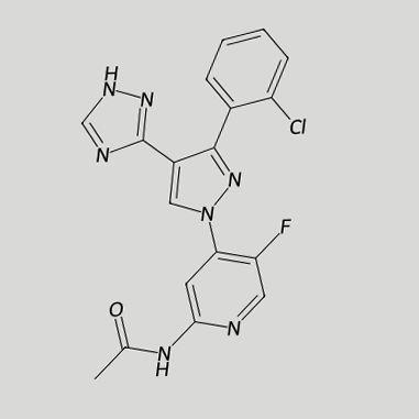 CC(=O)Nc1cc(-n2cc(-c3nc[nH]n3)c(-c3ccccc3Cl)n2)c(F)cn1